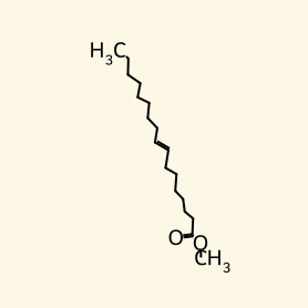 CCCCCCCCC=CCCCCCCC(=O)OC